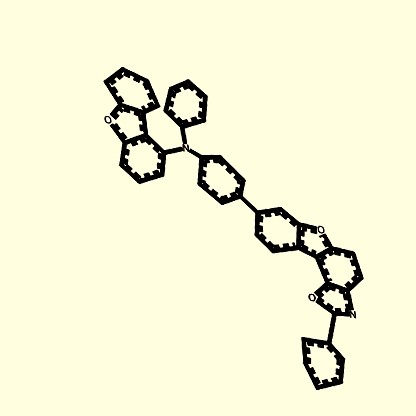 c1ccc(-c2nc3ccc4oc5cc(-c6ccc(N(c7ccccc7)c7cccc8oc9ccccc9c78)cc6)ccc5c4c3o2)cc1